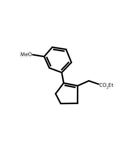 CCOC(=O)CC1=C(c2cccc(OC)c2)CCC1